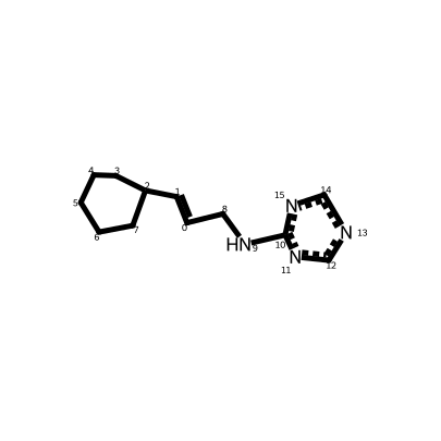 C(=CC1CCCCC1)CNc1ncncn1